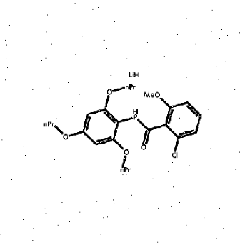 CCCOc1cc(OCCC)c(PC(=O)c2c(Cl)cccc2OC)c(OCCC)c1.[LiH]